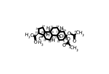 CC(=O)OC1(OC(C)=O)CC[C@@]2(C)[C@H](CC[C@@H]3[C@@H]2CC[C@]2(C)[C@@H](C(C)=O)CC[C@@H]32)C1